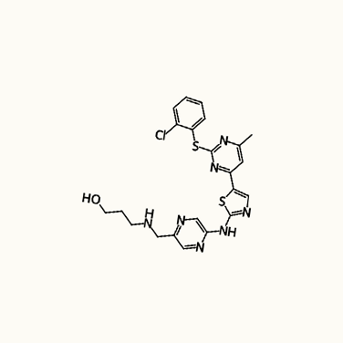 Cc1cc(-c2cnc(Nc3cnc(CNCCCO)cn3)s2)nc(Sc2ccccc2Cl)n1